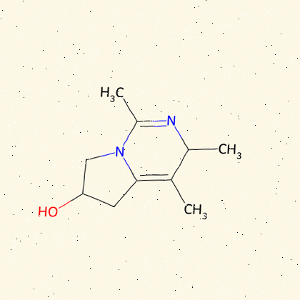 CC1=NC(C)C(C)=C2CC(O)CN12